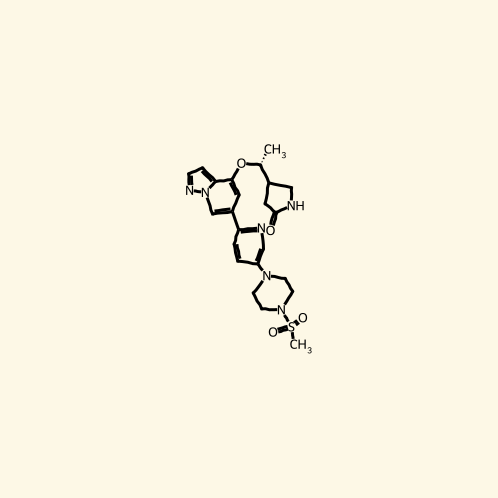 C[C@@H](Oc1cc(-c2ccc(N3CCN(S(C)(=O)=O)CC3)cn2)cn2nccc12)C1CNC(=O)C1